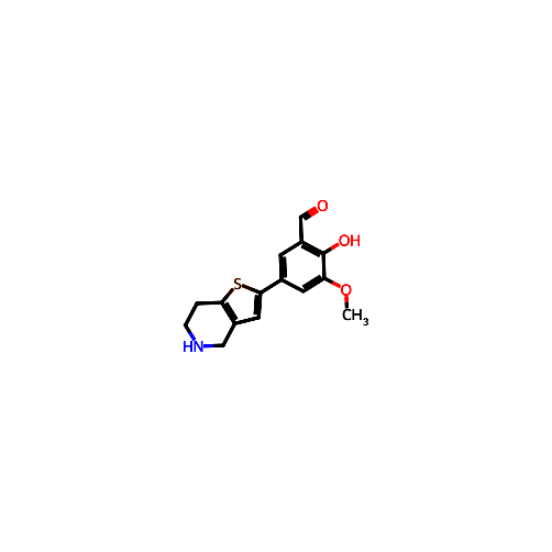 COc1cc(-c2cc3c(s2)CCNC3)cc(C=O)c1O